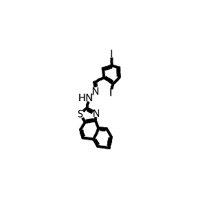 Ic1ccc(I)c(/C=N/Nc2nc3c(ccc4ccccc43)s2)c1